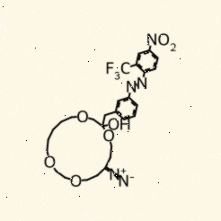 [N-]=[N+]=C1CCOCCOCCCCCOCC(O)(Cc2cccc(N=Nc3ccc([N+](=O)[O-])cc3C(F)(F)F)c2)OCC1